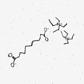 CC[N+](CC)(CC)CC.CC[N+](CC)(CC)CC.O=C([O-])CCCCCCCCC(=O)[O-]